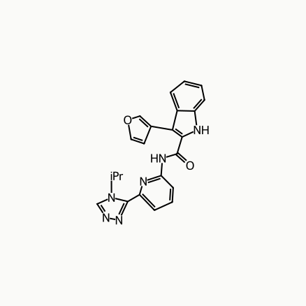 CC(C)n1cnnc1-c1cccc(NC(=O)c2[nH]c3ccccc3c2-c2ccoc2)n1